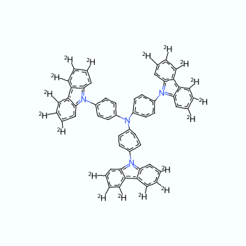 [2H]c1cc2c(c([2H])c1[2H])c1c([2H])c([2H])c([2H])cc1n2-c1ccc(N(c2ccc(-n3c4cc([2H])c([2H])c([2H])c4c4c([2H])c([2H])c([2H])cc43)cc2)c2ccc(-n3c4cc([2H])c([2H])c([2H])c4c4c([2H])c([2H])c([2H])cc43)cc2)cc1